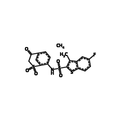 C.Cc1c(S(=O)(=O)Nc2ccc3cc2S(=O)(=O)CC3=O)sc2ccc(F)cc12